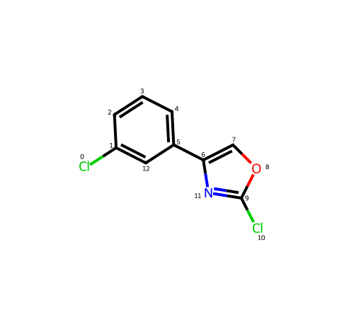 Clc1cccc(-c2coc(Cl)n2)c1